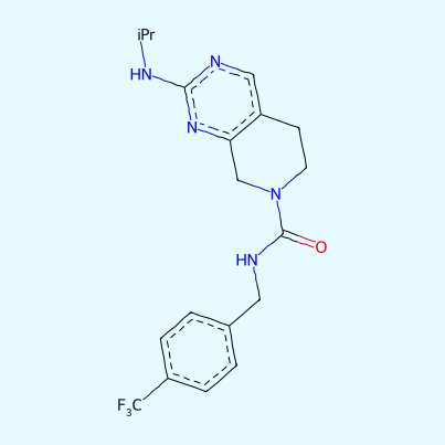 CC(C)Nc1ncc2c(n1)CN(C(=O)NCc1ccc(C(F)(F)F)cc1)CC2